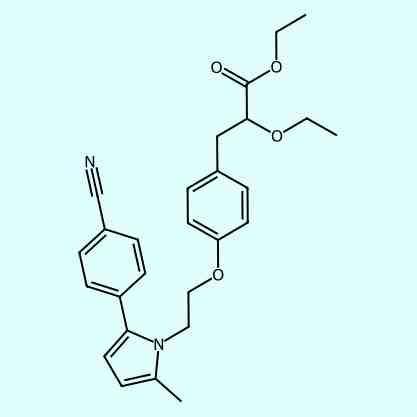 CCOC(=O)C(Cc1ccc(OCCn2c(C)ccc2-c2ccc(C#N)cc2)cc1)OCC